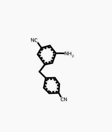 N#Cc1ccc(Cc2cc(N)cc(C#N)c2)cc1